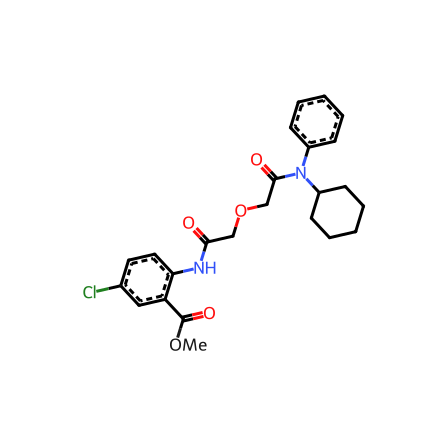 COC(=O)c1cc(Cl)ccc1NC(=O)COCC(=O)N(c1ccccc1)C1CCCCC1